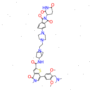 COc1cc(-c2cn(C)c(=O)c3cc(C(=O)NC4CC5CC4CN5CCN4CCN(c5ccc6c(c5)C(=O)N(C5CCC(=O)NC5=O)C6=O)CC4)sc23)cc(OC)c1CN(C)C